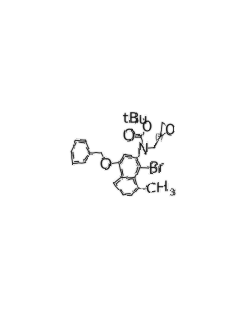 Cc1cccc2c(OCc3ccccc3)cc(N(C[C@H]3CO3)C(=O)OC(C)(C)C)c(Br)c12